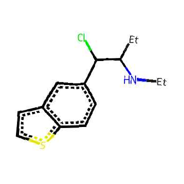 CCNC(CC)C(Cl)c1ccc2sccc2c1